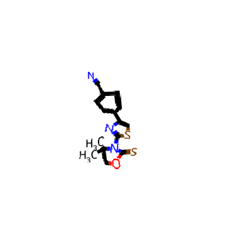 CC1(C)COC(=S)N1c1nc(-c2ccc(C#N)cc2)cs1